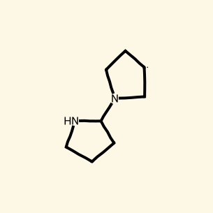 [CH]1CCN(C2CCCN2)C1